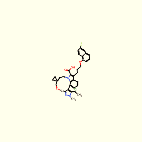 CCc1c2c(nn1C)COCC1(CCn3c(C(=O)O)c(CCCOc4cccc5cc(F)ccc45)c4ccc(Cl)c-2c43)CC1